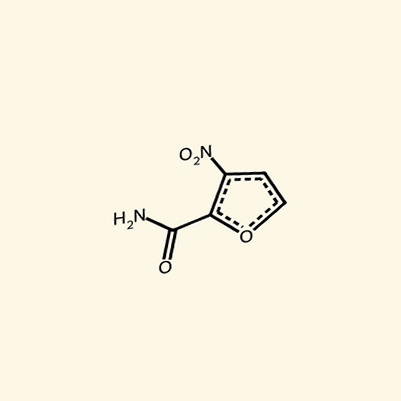 NC(=O)c1occc1[N+](=O)[O-]